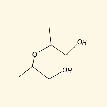 CC(CO)OC(C)CO